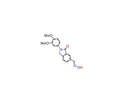 COc1ccc(N2Cc3ccc(C=NO)cc3C2=O)cc1OC